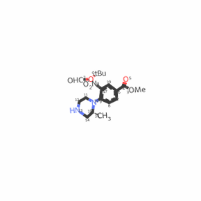 CC(C)(C)OC=O.COC(=O)c1ccc(N2CCNC[C@H]2C)c([N+](=O)[O-])c1